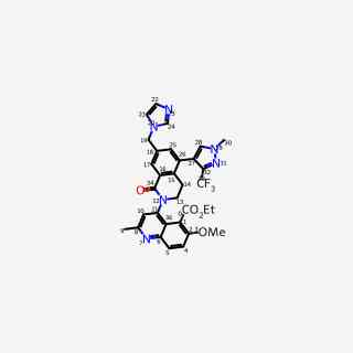 CCOC(=O)c1c(OC)ccc2nc(C)cc(N3CCc4c(cc(Cn5ccnc5)cc4-c4cn(C)nc4C(F)(F)F)C3=O)c12